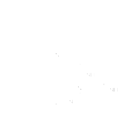 CCOC1CCN(c2ccc(Nc3nc(N4CCC(F)(F)C4)cc4cc[nH]c(=O)c34)cc2F)CC1